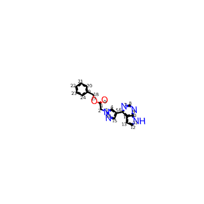 O=C(Cn1cc(-c2ncnc3[nH]ccc23)cn1)OCc1ccccc1